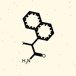 NC(=O)C(I)c1cccc2ccccc12